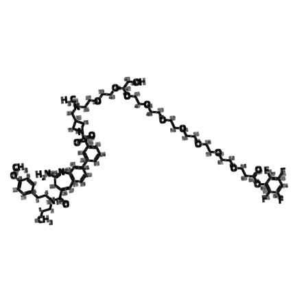 CCCN(CCc1ccc(OC)cc1)C(=O)C1=Cc2ccc(-c3cccc(S(=O)(=O)N4CC(CN(C)CCOCCOC(CO)OCCOCCOCCOCCOCCOCCOCCC(=O)Oc5c(F)c(F)cc(F)c5F)C4)c3)cc2N=C(N)C1